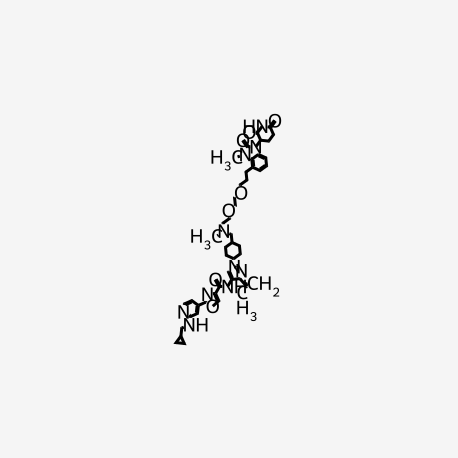 C=C(C)c1nn(C2CCC(CN(C)CCOCCOCCCc3cccc4c3n(C)c(=O)n4C3CCC(=O)NC3=O)CC2)cc1NC(=O)c1coc(-c2ccnc(NCC3CC3)c2)n1